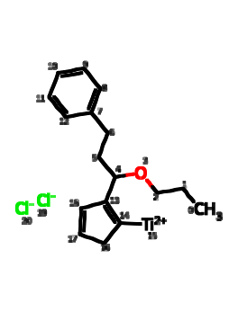 CCCOC(CCc1ccccc1)C1=[C]([Ti+2])CC=C1.[Cl-].[Cl-]